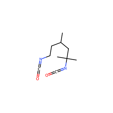 CC(CCN=C=O)CC(C)(C)N=C=O